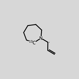 C=C[CH]N1CCCCC[13CH2]1